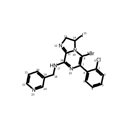 Clc1ccccc1C1=C(Br)N2C(=NCC2I)C(NCc2cccnc2)=N1